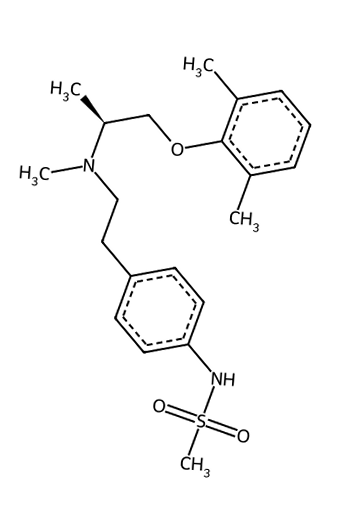 Cc1cccc(C)c1OC[C@H](C)N(C)CCc1ccc(NS(C)(=O)=O)cc1